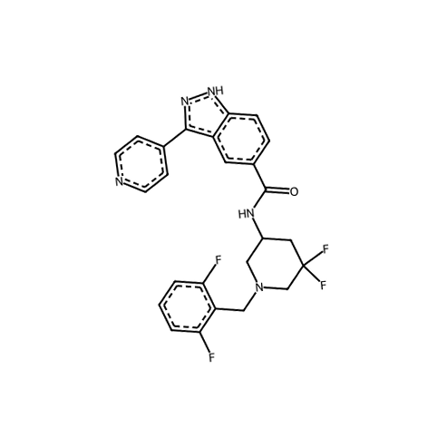 O=C(NC1CN(Cc2c(F)cccc2F)CC(F)(F)C1)c1ccc2[nH]nc(-c3ccncc3)c2c1